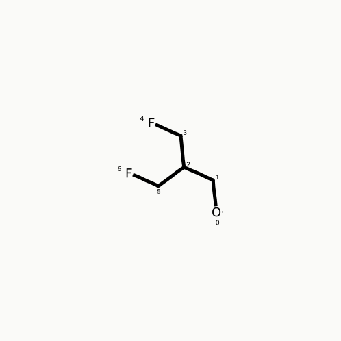 [O]CC(CF)CF